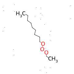 CCCCCCCCCOOOCC